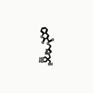 O=C(OCc1cn(CC(CO)(CO)CO)nn1)c1cc2ccccc2oc1=O